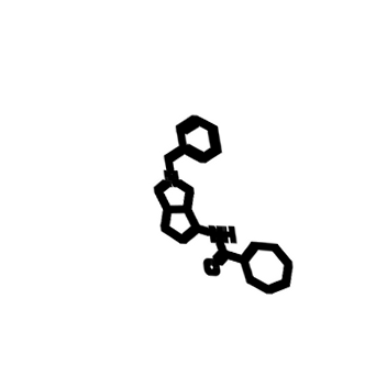 O=C(NC1CCC2CN(Cc3ccccc3)CC21)C1CCCCCC1